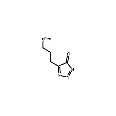 CCCCCCCCC1=NN=NC1=O